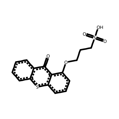 O=c1c2ccccc2sc2cccc(OCCCS(=O)(=O)O)c12